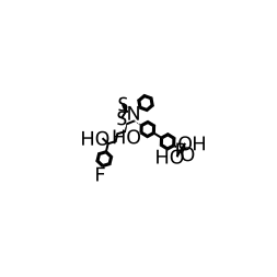 O=P(O)(O)c1ccc(-c2ccc([C@@H]3[C@@H](CCCC(O)c4ccc(F)cc4)SC(=S)N3c3ccccc3)c(O)c2)cc1